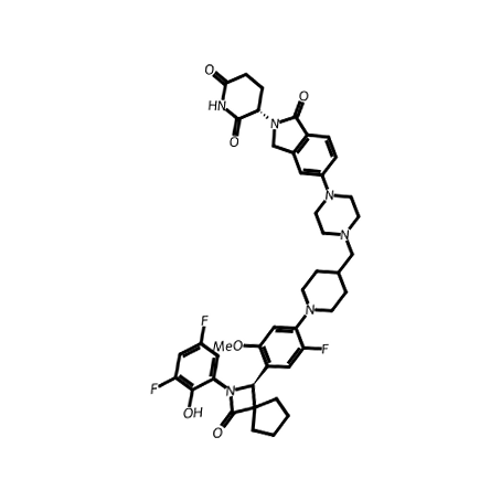 COc1cc(N2CCC(CN3CCN(c4ccc5c(c4)CN([C@H]4CCC(=O)NC4=O)C5=O)CC3)CC2)c(F)cc1[C@@H]1N(c2cc(F)cc(F)c2O)C(=O)C12CCCC2